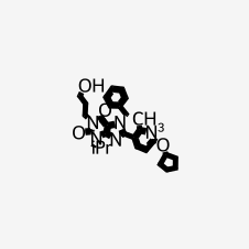 Cc1nc(OC2CCCC2)ccc1-c1nc2c(c(=O)n(CCCO)c(=O)n2C(C)C)n1Cc1ccccc1